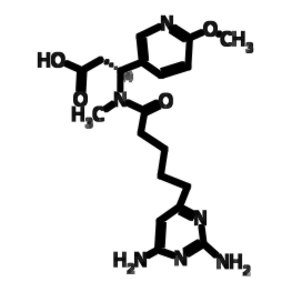 COc1ccc([C@@H](CC(=O)O)N(C)C(=O)CCCCc2cc(N)nc(N)n2)cn1